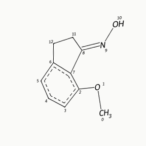 COc1cccc2c1/C(=N/O)CC2